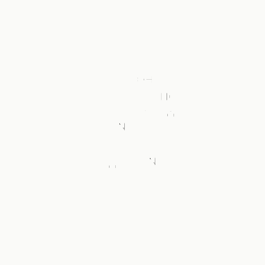 CCCN(C(=O)O)C(=O)n1cccc1.Cl